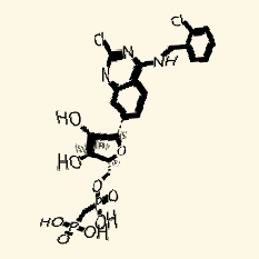 O=P(O)(O)CP(=O)(O)OC[C@H]1O[C@@H](c2ccc3c(NCc4ccccc4Cl)nc(Cl)nc3c2)[C@H](O)[C@@H]1O